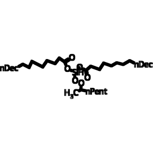 CCCCCCCCCCCCCCCCCC(=O)O[SiH](OOC(C)CCCCC)OC(=O)CCCCCCCCCCCCCCCCC